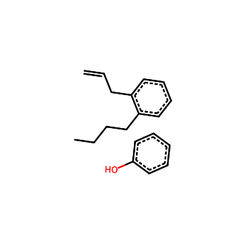 C=CCc1ccccc1CCCC.Oc1ccccc1